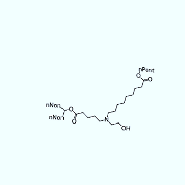 CCCCCCCCCC(CCCCCCCCC)OC(=O)CCCCN(CCO)CCCCCCCCC(=O)OCCCCC